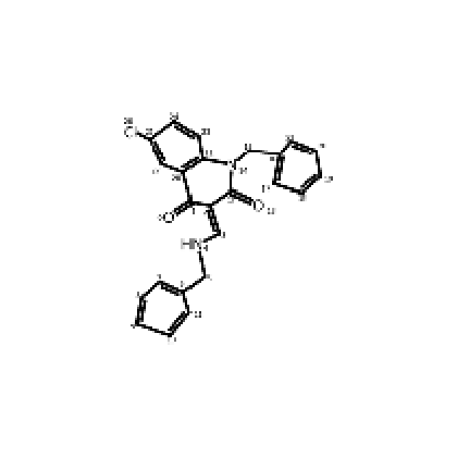 O=C1C(=CNCc2ccccc2)C(=O)N(Cc2ccccc2)c2ccc(Cl)cc21